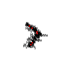 C#C[Si](C)(C)C.C#C[Si](Cl)(Cl)Cl.C=C[Si](C)(C)C.C=C[Si](F)(F)F.CC(C)(C)C#C[Si](F)(F)F.CCCC/C=C/[Si](C)(C)C.CC[Si](CC)(CC)c1ccc(OC)cc1.C[Si](C)(C)c1ccccc1C(F)(F)F.C[Si](C)(C)c1ccccn1